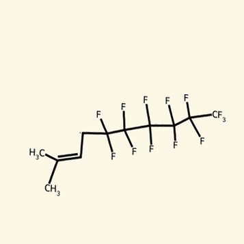 CC(C)=C[CH]C(F)(F)C(F)(F)C(F)(F)C(F)(F)C(F)(F)C(F)(F)F